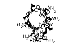 CCC(C)CCCC(=O)NC(CCN)C(=O)NC(C(=O)NC(CCN)C(=O)NC1CNC(=O)C(C(C)O)NC(=O)C(CCN)NC(=O)C(CCN)NC(=O)CC(CC(C)C)NC(=O)C(CC(C)C)NC(=O)C(CCN)NC1=O)C(C)O